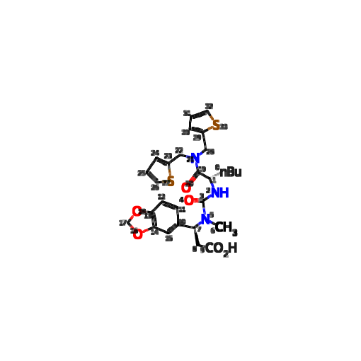 CCCC[C@H](NC(=O)N(C)[C@@H](CC(=O)O)c1ccc2c(c1)OCO2)C(=O)N(Cc1cccs1)Cc1cccs1